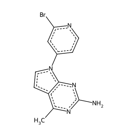 Cc1nc(N)nc2c1ccn2-c1ccnc(Br)c1